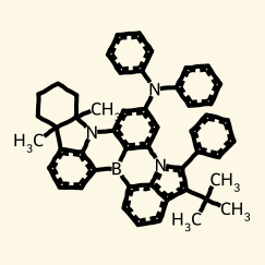 CC(C)(C)c1c(-c2ccccc2)n2c3c(cccc13)B1c3cccc4c3N(c3cc(N(c5ccccc5)c5ccccc5)cc-2c31)C1(C)CCCCC41C